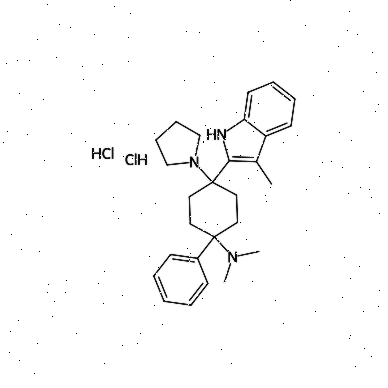 Cc1c(C2(N3CCCC3)CCC(c3ccccc3)(N(C)C)CC2)[nH]c2ccccc12.Cl.Cl